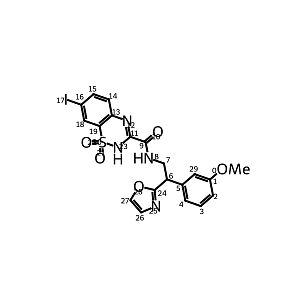 COc1cccc(C(CNC(=O)C2=Nc3ccc(I)cc3S(=O)(=O)N2)c2ncco2)c1